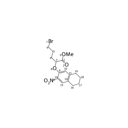 COC(=O)C(CCCBr)Oc1cc2c(cc1[N+](=O)[O-])CCCC2